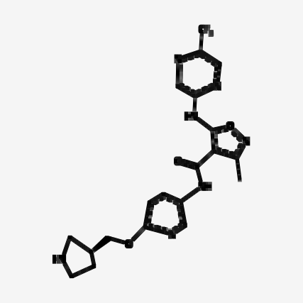 Cc1noc(Nc2cnc(C(F)(F)F)cn2)c1C(=O)Nc1ccc(OC[C@H]2CCNC2)nc1